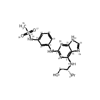 CC(C)[C@H](CO)Nc1nc(Nc2cccc(NS(C)(=O)=O)c2)nc2[nH]cnc12